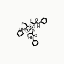 O=C(Nc1ccccc1)/C(=C\F)OP(=O)(O/C(=C/F)C(=O)Nc1ccccc1)O/C(=C/F)C(=O)Nc1ccccc1